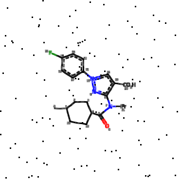 CC1CCC(C(=O)N(c2nn(-c3ccc(F)cc3)cc2C(=O)O)C(C)C)CC1